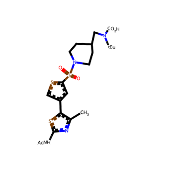 CC(=O)Nc1nc(C)c(-c2csc(S(=O)(=O)N3CCC(CN(C(=O)O)C(C)(C)C)CC3)c2)s1